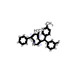 CC1=C\C(C(c2ccc(C)nc2)c2cccc(F)c2)=C/N=C/C(c2ccccc2)=C\1